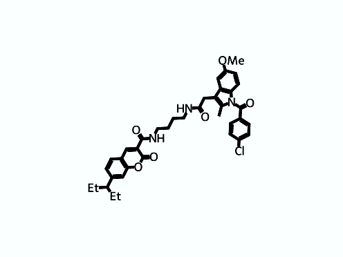 CCC(CC)c1ccc2cc(C(=O)NCCCCNC(=O)Cc3c(C)n(C(=O)c4ccc(Cl)cc4)c4ccc(OC)cc34)c(=O)oc2c1